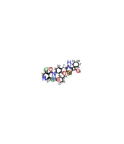 O=C(Nc1ccc(C[C@H](NC2=C(Br)C(=O)C23CCCCC3)C(=O)OCC2CCOC2)cc1)c1c(Cl)cncc1Cl